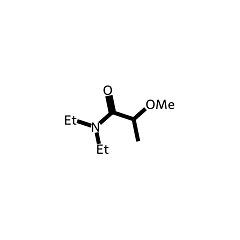 CCN(CC)C(=O)C(C)OC